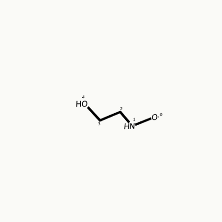 [O]NCCO